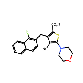 N#Cc1c(N2CCOCC2)sc(C(=O)O)c1Cc1ccc2ccccc2c1F